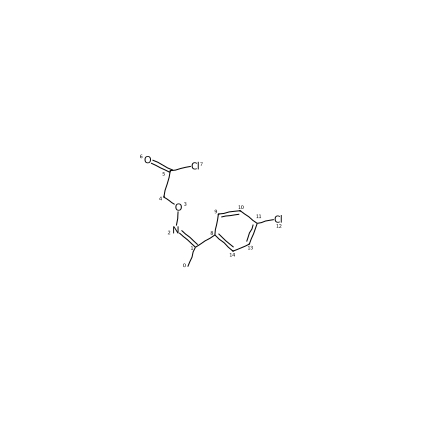 C/C(=N/OCC(=O)Cl)c1ccc(Cl)cc1